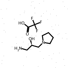 NC[C@@H](O)CN1CCCC1.O=C(O)C(F)(F)F